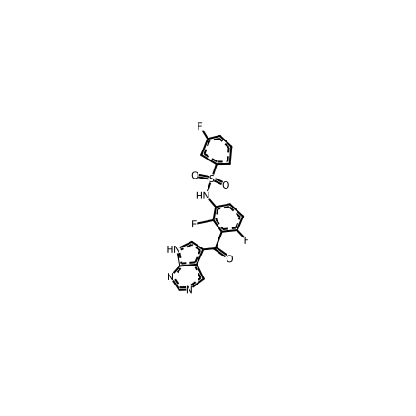 O=C(c1c(F)ccc(NS(=O)(=O)c2cccc(F)c2)c1F)c1c[nH]c2ncncc12